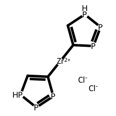 [Cl-].[Cl-].c1[pH]pp[c]1[Zr+2][c]1c[pH]pp1